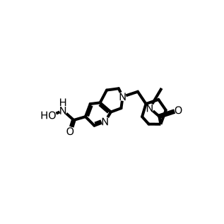 CN1C(=O)C2CCC1(CN1CCc3cc(C(=O)NO)cnc3C1)CC2